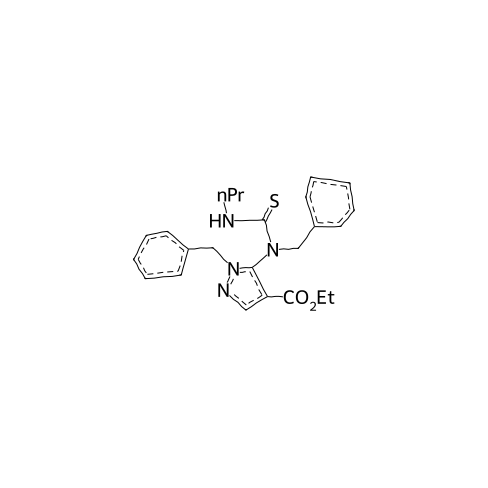 CCCNC(=S)N(Cc1ccccc1)c1c(C(=O)OCC)cnn1Cc1ccccc1